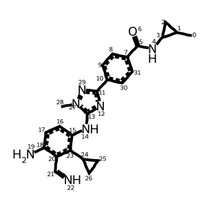 CC1CC1NC(=O)c1ccc(-c2nc(Nc3ccc(N)c(C=N)c3C3CC3)n(C)n2)cc1